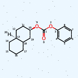 O=C(Oc1ccccc1)O[C@@H]1CC[C@@H]2CCCCC2C1